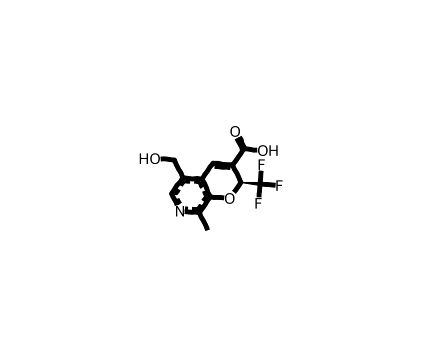 Cc1ncc(CO)c2c1O[C@H](C(F)(F)F)C(C(=O)O)=C2